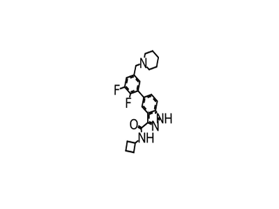 O=C(NC1CCC1)c1n[nH]c2ccc(-c3cc(CN4CCCCC4)cc(F)c3F)cc12